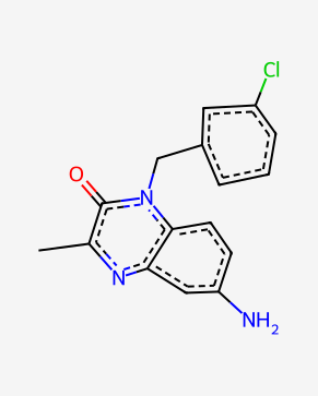 Cc1nc2cc(N)ccc2n(Cc2cccc(Cl)c2)c1=O